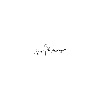 C[N+](C)(C)CCCNC(=O)CCSCCO.[Cl-]